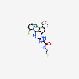 C[C@@H]1N=C(c2ncccc2F)c2c(ccc(C(F)(F)F)c2Cl)-n2nc(C(=O)NCCF)nc21